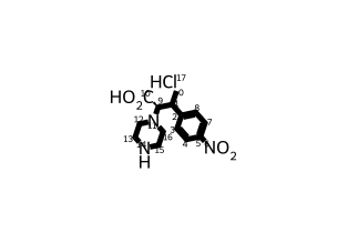 CC(c1ccc([N+](=O)[O-])cc1)[C@@H](C(=O)O)N1CCNCC1.Cl